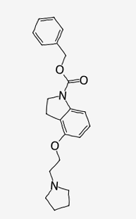 O=C(OCc1ccccc1)N1CCc2c(OCCN3CCCC3)cccc21